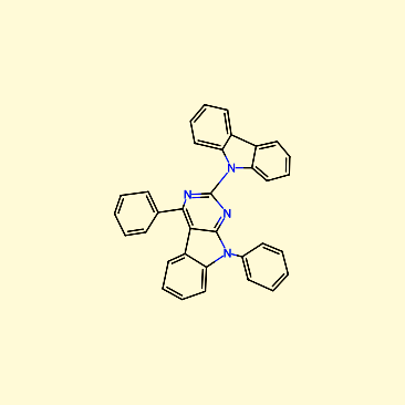 c1ccc(-c2nc(-n3c4ccccc4c4ccccc43)nc3c2c2ccccc2n3-c2ccccc2)cc1